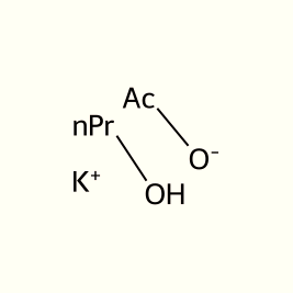 CC(=O)[O-].CCCO.[K+]